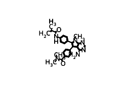 C=C(C)C(=O)Nc1ccc(-c2c(-c3ccc(C(=O)N(C)C)cc3)c3c(N)ncnc3n2C)cc1